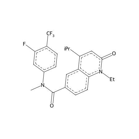 CCn1c(=O)cc(C(C)C)c2cc(C(=O)N(C)c3ccc(C(F)(F)F)c(F)c3)ccc21